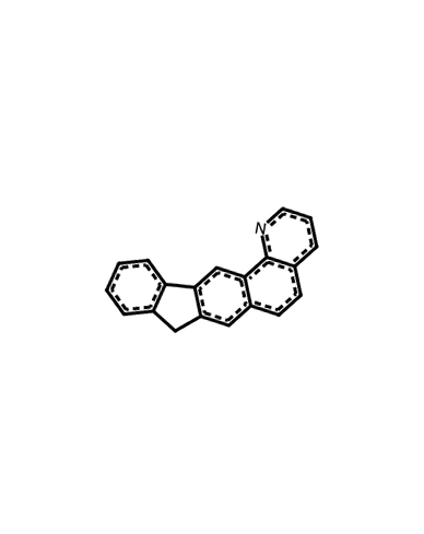 c1ccc2c(c1)Cc1cc3ccc4cccnc4c3cc1-2